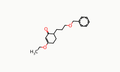 CCOC1=CC(=O)C(CCCOCc2ccccc2)CC1